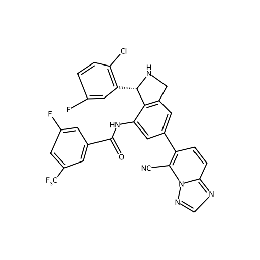 N#Cc1c(-c2cc3c(c(NC(=O)c4cc(F)cc(C(F)(F)F)c4)c2)[C@H](c2cc(F)ccc2Cl)NC3)ccc2ncnn12